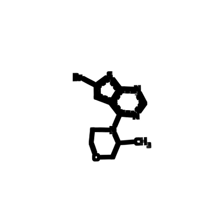 CC1COCCN1c1ncnc2sc(Br)cc12